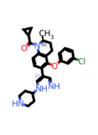 C[C@H]1CCc2c(ccc(/C(C=N)=C/NC3CCNCC3)c2Oc2cccc(Cl)c2)N1C(=O)C1CC1